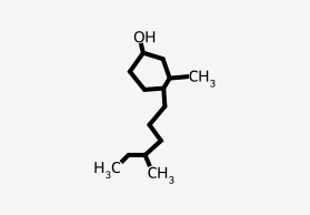 CCC(C)CCCC1CCC(O)CC1C